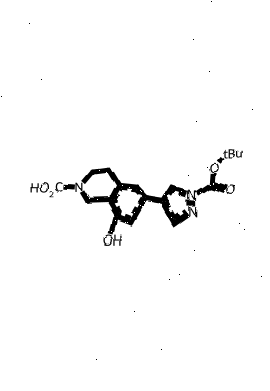 CC(C)(C)OC(=O)n1cc(-c2cc(O)c3c(c2)CCN(C(=O)O)C3)cn1